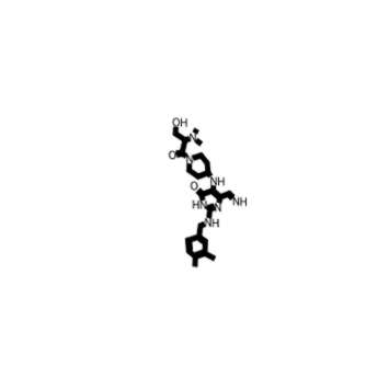 Cc1ccc(CNc2nc(C=N)c(NC3CCN(C(=O)C(CO)N(C)C)CC3)c(=O)[nH]2)cc1C